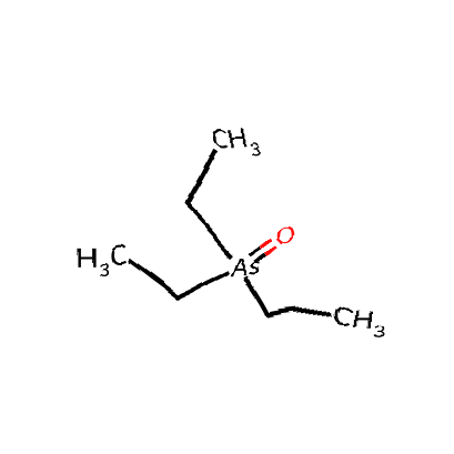 CC[As](=O)(CC)CC